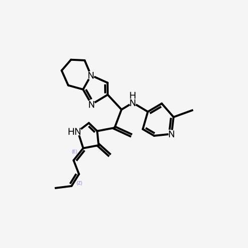 C=C(c1c[nH]/c(=C/C=C\C)c1=C)C(Nc1ccnc(C)c1)c1cn2c(n1)CCCC2